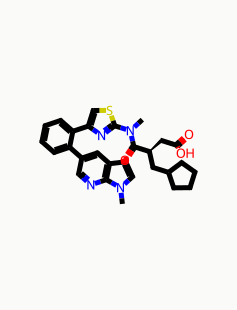 CN(C(=O)[C@@H](CC(=O)O)CC1CCCC1)c1nc(-c2ccccc2-c2cnc3c(ccn3C)c2)cs1